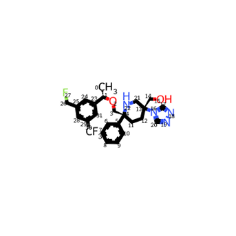 C[C@H](OC[C@]1(c2ccccc2)CC[C@@](CO)(n2cnnc2)CN1)c1cc(CF)cc(C(F)(F)F)c1